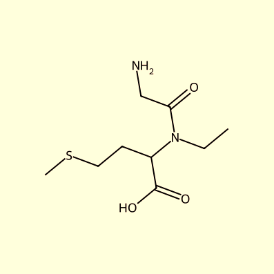 CCN(C(=O)CN)C(CCSC)C(=O)O